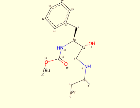 CC(C)CC(C)NC[C@@H](O)[C@H](Cc1ccccc1)NC(=O)OC(C)(C)C